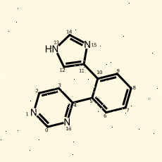 [c]1nccc(-c2ccccc2-c2c[nH]cn2)n1